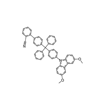 COc1ccc2c(c1)c1cc(OC)ccc1n2-c1ccc(C(c2ccccc2)(c2ccccc2)c2ccc(-c3ccccc3C#N)cc2)cc1